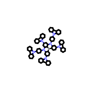 c1ccc2c(c1)c1ccccc1n2-c1ccc(N2c3cc(-n4c5ccccc5c5ccccc54)ccc3B3c4ccc(-n5c6ccccc6c6ccccc65)cc4N(c4ccc(-n5c6ccccc6c6ccccc65)cc4)c4cc(-n5c6ccccc6c6ccccc65)cc2c43)cc1